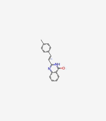 Cc1ccc(/C=C/c2nc3ccccc3c(=O)[nH]2)cc1